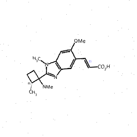 CNC1(c2nc3cc(/C=C/C(=O)O)c(OC)cc3n2C)CC[C@H]1C